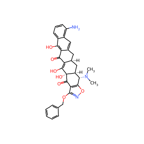 CN(C)[C@@H]1c2onc(OCc3ccccc3)c2C(=O)[C@@]2(O)C(O)=C3C(=O)c4c(cc5c(N)cccc5c4O)C[C@H]3C[C@@H]12